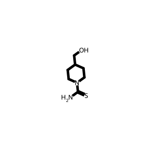 NC(=S)N1CCC(CO)CC1